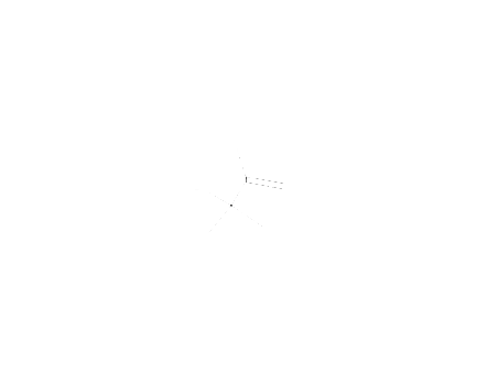 C[CH]C(C)(C)C(=O)Cl